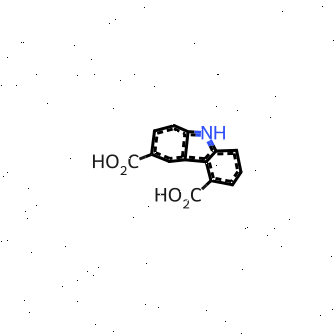 O=C(O)c1ccc2[nH]c3cccc(C(=O)O)c3c2c1